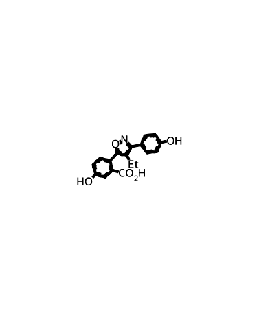 CCc1c(-c2ccc(O)cc2)noc1-c1ccc(O)cc1C(=O)O